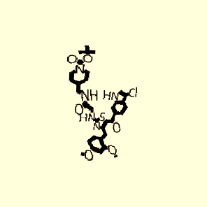 COc1ccc(Cc2nc(NCC(=O)NCC3CCN(C(=O)OC(C)(C)C)CC3)sc2C(=O)c2ccc3c(Cl)c[nH]c3c2)c(OC)c1